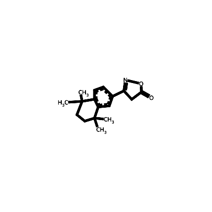 CC1(C)CCC(C)(C)c2cc(C3=NOC(=O)C3)ccc21